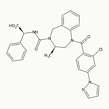 C[C@@H]1CN(C(=O)c2ccc(-n3cccn3)cc2Cl)c2ccccc2CN1C(=O)N[C@H](C(=O)O)c1ccccc1